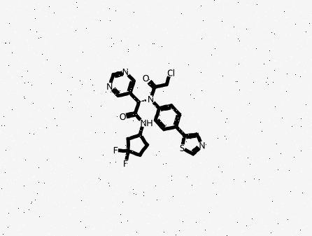 O=C(NC1CCC(F)(F)C1)[C@H](c1cncnc1)N(C(=O)CCl)c1ccc(-c2cncs2)cc1